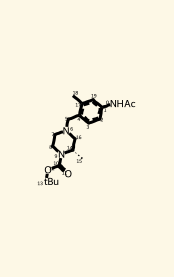 CC(=O)Nc1ccc(CN2CCN(C(=O)OC(C)(C)C)[C@@H](C)C2)c(C)c1